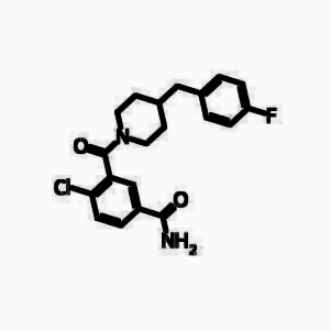 NC(=O)c1ccc(Cl)c(C(=O)N2CCC(Cc3ccc(F)cc3)CC2)c1